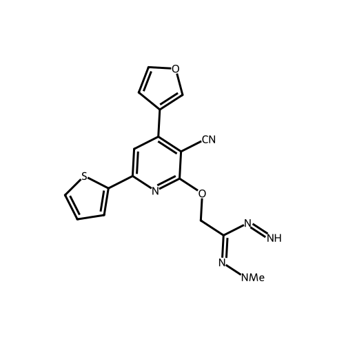 CN/N=C(/COc1nc(-c2cccs2)cc(-c2ccoc2)c1C#N)N=N